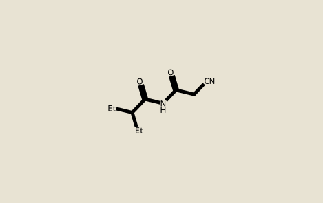 CCC(CC)C(=O)NC(=O)CC#N